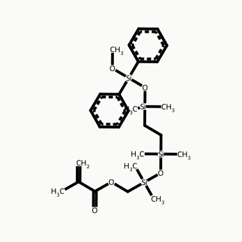 C=C(C)C(=O)OC[Si](C)(C)O[Si](C)(C)CC[Si](C)(C)O[Si](OC)(c1ccccc1)c1ccccc1